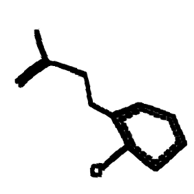 C=C(C)CCc1ccccc1Cl